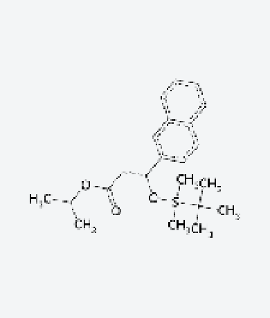 CC(C)OC(=O)C[C@@H](O[Si](C)(C)C(C)(C)C)c1ccc2ccccc2c1